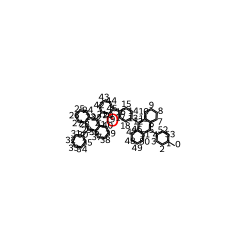 Cc1ccc(-c2c3ccccc3c(-c3ccc4c(c3)oc3c(-c5c6ccccc6c(-c6ccccc6)c6ccccc56)cccc34)c3ccccc23)cc1